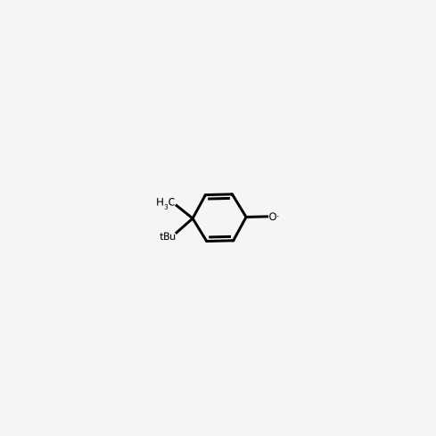 CC(C)(C)C1(C)C=CC([O])C=C1